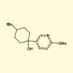 COc1ccc(C2(O)CCC(C(C)(C)C)CC2)cn1